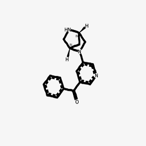 O=C(c1ccccc1)c1cncc(N2C[C@@H]3C[C@H]2CN3)c1